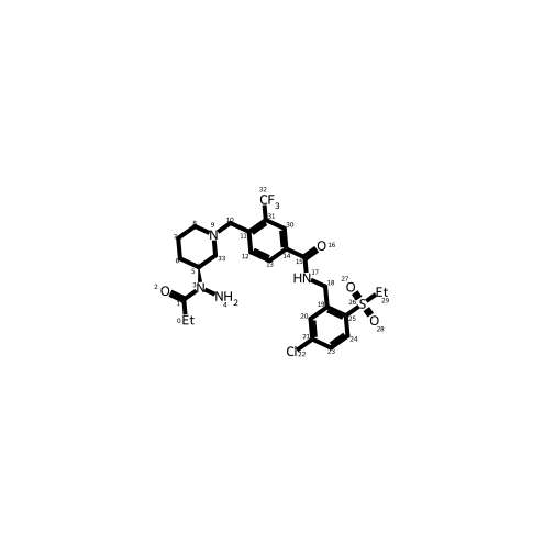 CCC(=O)N(N)[C@H]1CCCN(Cc2ccc(C(=O)NCc3cc(Cl)ccc3S(=O)(=O)CC)cc2C(F)(F)F)C1